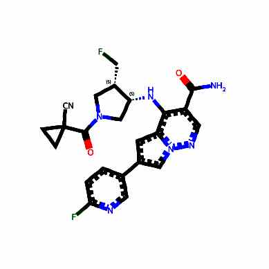 N#CC1(C(=O)N2C[C@H](CF)[C@H](Nc3c(C(N)=O)cnn4cc(-c5ccc(F)nc5)cc34)C2)CC1